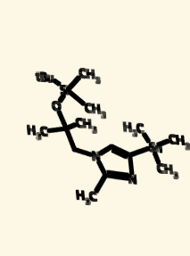 Cc1n[c]([Sn]([CH3])([CH3])[CH3])cn1CC(C)(C)O[Si](C)(C)C(C)(C)C